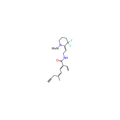 C#CC/C(C)=C\C=C(/C=C)C(=O)NC/C=C1\N(NC)CCCC1(F)F